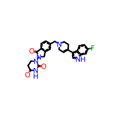 O=C1CCN(N2Cc3cc(CN4CC=C(c5c[nH]c6cc(F)ccc56)CC4)ccc3C2=O)C(=O)N1